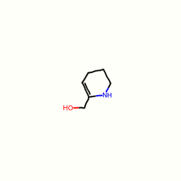 OCC1=CCCCN1